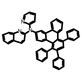 c1ccc(-c2cc(-c3ccccc3)c3c4ccccc4c4cc(N(c5ccccn5)c5ccc6ccccc6n5)ccc4c3c2-c2ccccc2)cc1